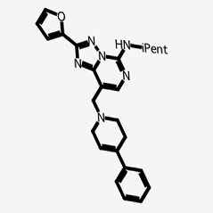 CCCC(C)Nc1ncc(CN2CC=C(c3ccccc3)CC2)c2nc(-c3ccco3)nn12